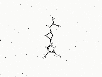 Cc1nn(C2CC(OC(F)F)C2)cc1N